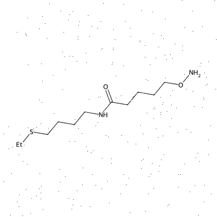 CCSCCCCNC(=O)CCCCON